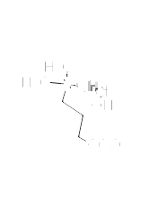 C[N+](C)(C)C[C@H](O)CC(=O)[O-].Cl.Cl